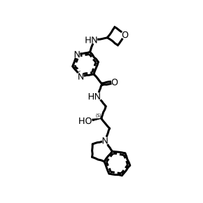 O=C(NC[C@H](O)CN1CCc2ccccc21)c1cc(NC2COC2)ncn1